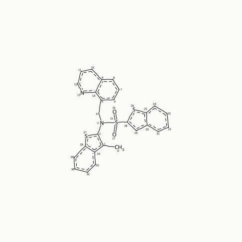 Cc1c(N(Cc2cccc3cccnc23)S(=O)(=O)c2cc3ccccc3s2)sc2ccccc12